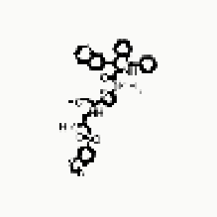 CC(CNC(CO)c1ccc(N(C)C(=O)C(NC(=O)c2ccccc2)C(c2ccccc2)c2ccc3cccnc3c2)s1)CS(=O)(=O)c1ccc2ncsc2c1